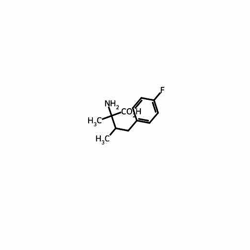 CC(Cc1ccc(F)cc1)C(C)(N)C(=O)O